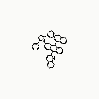 c1ccc(-c2ccc(-c3ccccc3)n2-c2ccc3c(-c4ccc5ccccc5n4)c4ccccc4c(-c4cccc5ccccc45)c3c2)cc1